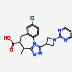 CC1c2nnc(C3CN(c4ncccn4)C3)n2-c2ccc(Cl)cc2CC1C(=O)O